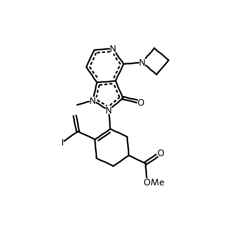 C=C(I)C1=C(n2c(=O)c3c(N4CCC4)nccc3n2C)CC(C(=O)OC)CC1